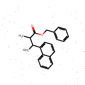 CC(C(=O)OCc1ccccc1)C([C]=O)c1cccc2ccccc12